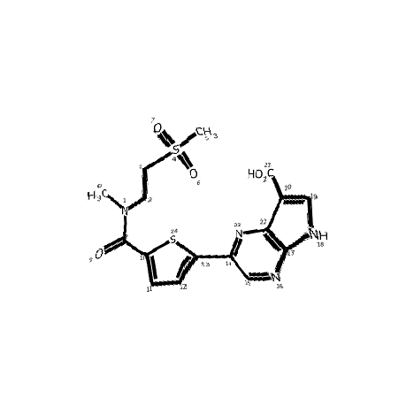 CN(CCS(C)(=O)=O)C(=O)c1ccc(-c2cnc3[nH]cc(C(=O)O)c3n2)s1